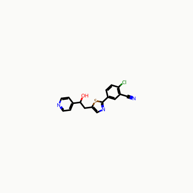 N#Cc1cc(-c2ncc(CC(O)c3ccncc3)s2)ccc1Cl